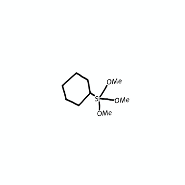 CO[Si](OC)(OC)C1CCCCC1